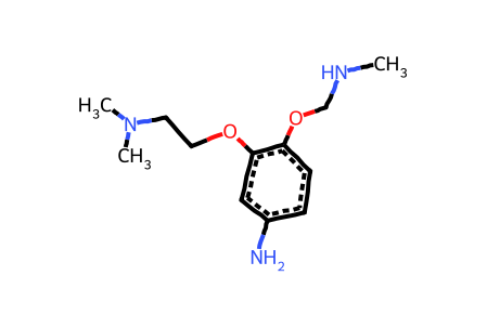 CNCOc1ccc(N)cc1OCCN(C)C